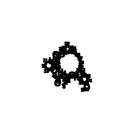 CC[C@@H]1[C@@H]2CN(C(=O)[C@H](C3CCCCC3)NC(=O)O[C@]3(C)CCC[C@H]3CCCCCc3nc4ccc(OC)cc4nc3O2)[C@@H]1C(C)=O